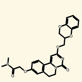 CN(C)C(=O)COc1ccc2c(c1)CCn1c-2cc(OCC2COc3ccccc3O2)nc1=O